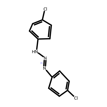 Clc1ccc(/N=N/Nc2ccc(Cl)cc2)cc1